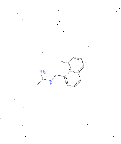 Cc1cccc2cccc(CNC(C)N)c12